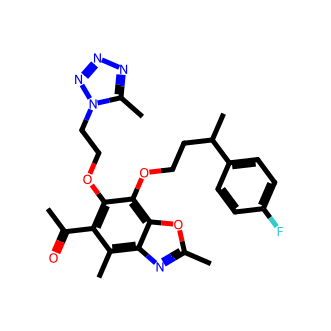 CC(=O)c1c(OCCn2nnnc2C)c(OCCC(C)c2ccc(F)cc2)c2oc(C)nc2c1C